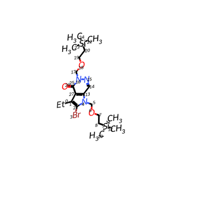 CCc1c(Br)n(COCC[Si](C)(C)C)c2cnn(COCC[Si](C)(C)C)c(=O)c12